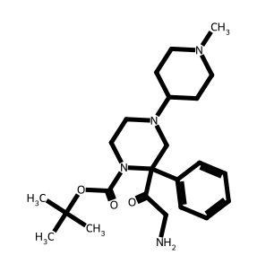 CN1CCC(N2CCN(C(=O)OC(C)(C)C)C(C(=O)CN)(c3ccccc3)C2)CC1